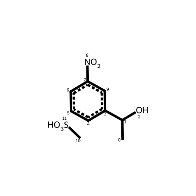 CC(O)c1cccc([N+](=O)[O-])c1.CS(=O)(=O)O